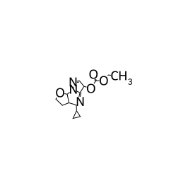 CCOC(=O)OC1C=NN2C1=NC(C1CC1)C1CCOC12